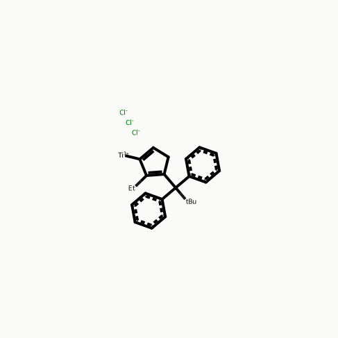 CCC1=C(C(c2ccccc2)(c2ccccc2)C(C)(C)C)CC=[C]1[Ti+3].[Cl-].[Cl-].[Cl-]